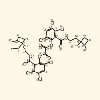 CCC1(CCOC(=O)c2c(Cl)c(Cl)cc(Cl)c2OC(=O)C(=O)Oc2c(Cl)cc(Cl)c(Cl)c2C(=O)OCCC2(CC)CCC2C)CCC1C